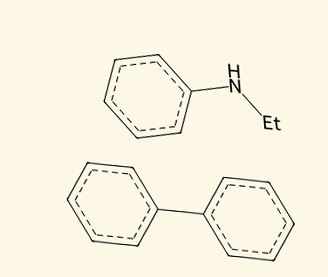 CCNc1ccccc1.c1ccc(-c2ccccc2)cc1